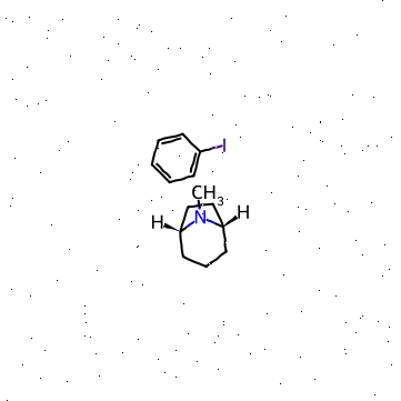 CN1[C@@H]2CCC[C@H]1CC2.Ic1ccccc1